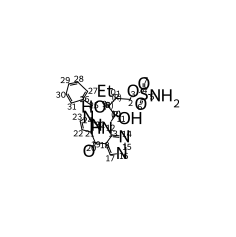 CC[C@H](COS(N)(=O)=O)[C@@H](O)[C@@H](O)Nc1ncncc1C(=O)c1ccn(Cc2ccccc2)n1